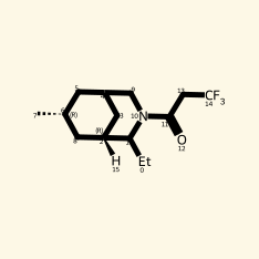 CCC1[C@H]2CC(C[C@@H](C)C2)CN1C(=O)CC(F)(F)F